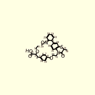 CCOC(Cc1ccc(OCCN2C(=O)C(C)Sc3cc(C4C=CC=CC4=NOC)ccc32)cc1)C(=O)O